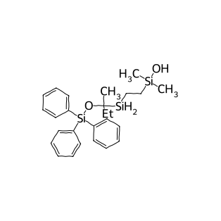 CCC(C)(O[Si](c1ccccc1)(c1ccccc1)c1ccccc1)[SiH2]CC[Si](C)(C)O